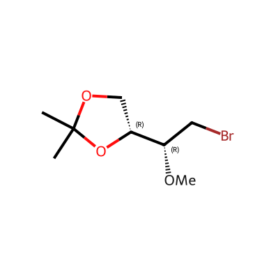 CO[C@@H](CBr)[C@H]1COC(C)(C)O1